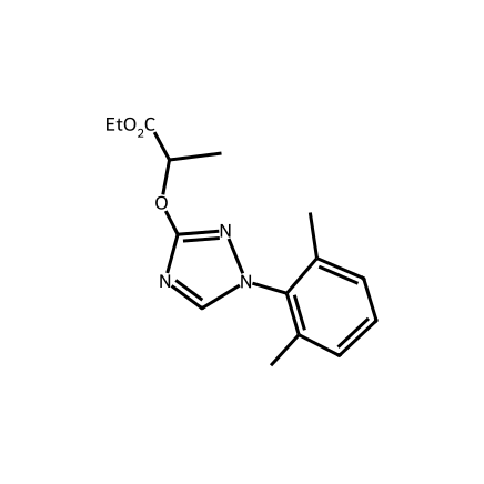 CCOC(=O)C(C)Oc1ncn(-c2c(C)cccc2C)n1